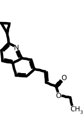 CCOC(=O)/C=C/c1ccc2ccc(C3CC3)nc2c1